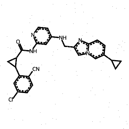 N#Cc1ccc(Cl)cc1C1CC1C(=O)Nc1cc(NCc2cn3cc(C4CC4)ccc3n2)ccn1